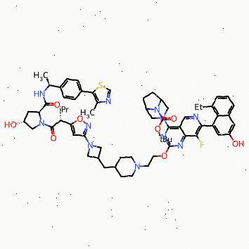 CCc1cccc2cc(O)cc(-c3ncc4c(N5CC6CCC(C5)N6C(=O)OC(C)(C)C)nc(OCCN5CCC(CC6CN(c7cc([C@H](C(=O)N8C[C@H](O)C[C@H]8C(=O)N[C@@H](C)c8ccc(-c9scnc9C)cc8)C(C)C)on7)C6)CC5)nc4c3F)c12